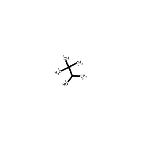 C[C](O)C(C)(C)O